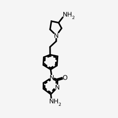 Nc1ccn(-c2ccc(CCN3CCC(N)C3)cc2)c(=O)n1